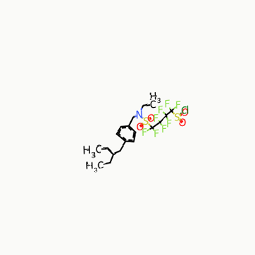 CCC(CC)Cc1ccc(CN(CC)S(=O)(=O)C(F)(F)C(F)(F)C(F)(F)C(F)(F)S(=O)(=O)Cl)cc1